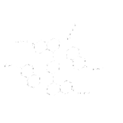 CCCCC[n+]1ccc2c(-c3cc(-c4cccc5c[n+](CCCCC)ccc45)c(-c4cccc5c[n+](CCCCC)ccc45)cc3-c3cccc4c[n+](CCCCC)ccc34)cccc2c1.[Br-].[Br-].[Br-].[Br-]